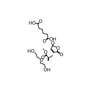 C=C(C)C(=O)OC.O=C(O)CCCCC(=O)O.O=C1C=CC(=O)O1.OCCOCCO